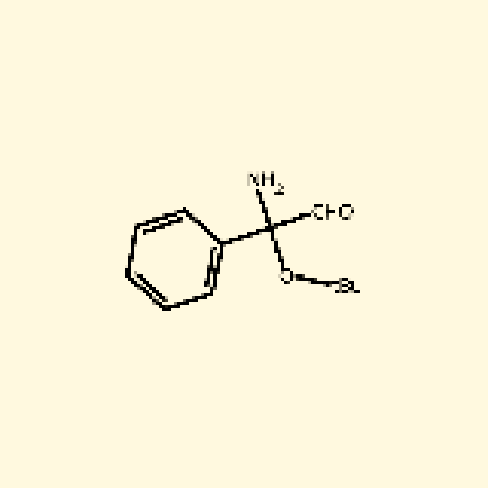 CC(C)(C)OC(N)(C=O)c1c[c]ccc1